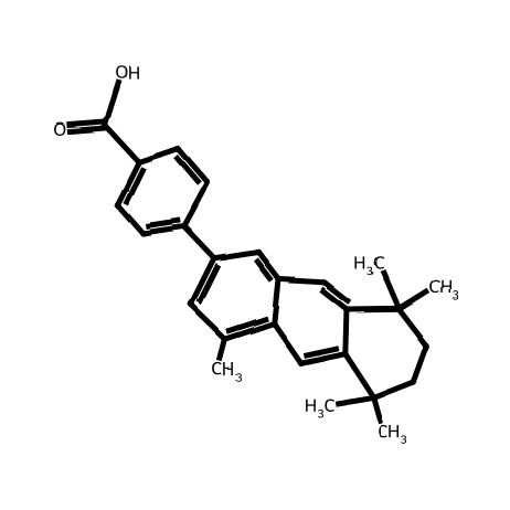 Cc1cc(-c2ccc(C(=O)O)cc2)cc2cc3c(cc12)C(C)(C)CCC3(C)C